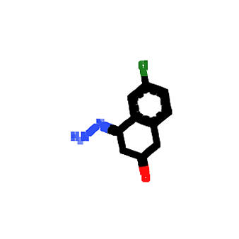 NN=C1CC(=O)Cc2ccc(Cl)cc21